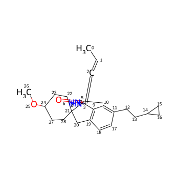 CC=C=C1NC(=O)C2(N1)c1cc(CCC3CC3)ccc1CC21CCC(OC)CC1